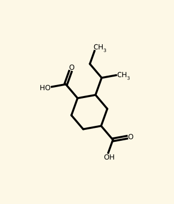 CCC(C)C1CC(C(=O)O)CCC1C(=O)O